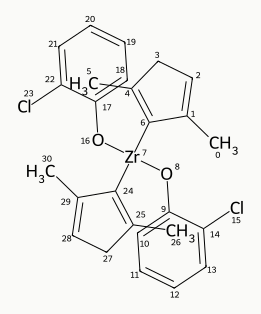 CC1=CCC(C)=[C]1[Zr]([O]c1ccccc1Cl)([O]c1ccccc1Cl)[C]1=C(C)CC=C1C